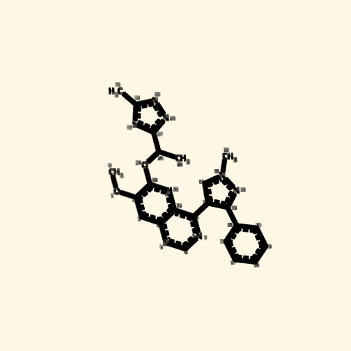 COc1cc2ncnc(-c3cn(C)nc3-c3ccccc3)c2nc1OC(C)c1nnc(C)s1